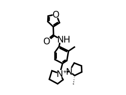 Cc1cc([N+]2(N3CCC[C@@H]3C)CCCC2)ccc1NC(=O)c1ccoc1